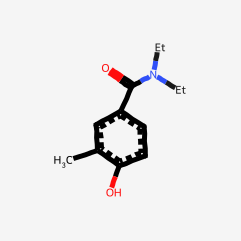 CCN(CC)C(=O)c1ccc(O)c(C)c1